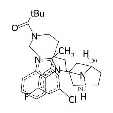 Cc1nc2ccccc2n1C1C[C@H]2CC[C@@H](C1)N2CCC1(c2cc(F)cc(Cl)c2)CCN(C(=O)C(C)(C)C)CC1